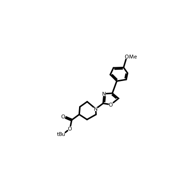 COc1ccc(-c2coc(N3CCC(C(=O)OC(C)(C)C)CC3)n2)cc1